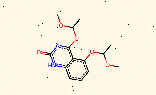 COC(C)Oc1cccc2[nH]c(=O)nc(OC(C)OC)c12